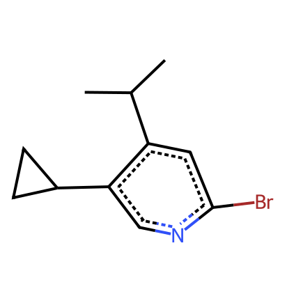 CC(C)c1cc(Br)ncc1C1CC1